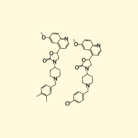 COc1ccc2nccc(C3CN(C4CCN(Cc5ccc(C)c(C)c5)CC4)C(=O)O3)c2c1.COc1ccc2nccc(C3CN(C4CCN(Cc5ccc(Cl)cc5)CC4)C(=O)O3)c2c1